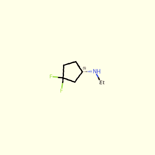 CCN[C@H]1CCC(F)(F)C1